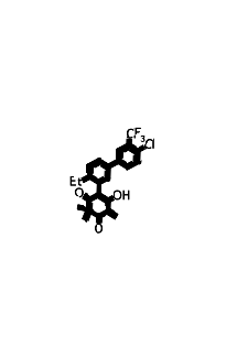 C=C1C(=O)C(C)(C)C(=O)C(c2cc(-c3ccc(Cl)c(C(F)(F)F)c3)ccc2CC)=C1O